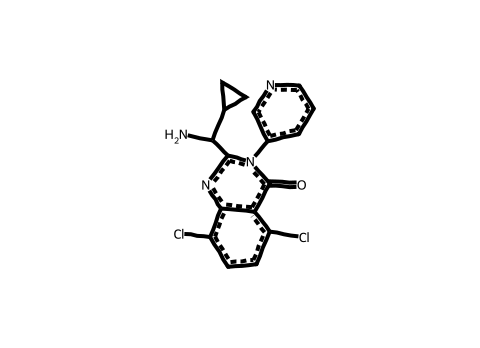 NC(c1nc2c(Cl)ccc(Cl)c2c(=O)n1-c1cccnc1)C1CC1